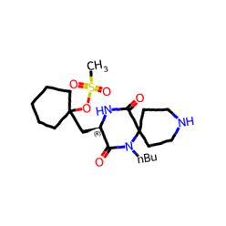 CCCCN1C(=O)[C@@H](CC2(OS(C)(=O)=O)CCCCC2)NC(=O)C12CCNCC2